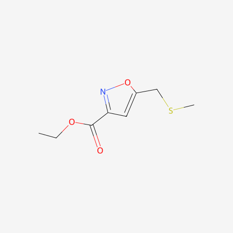 CCOC(=O)c1cc(CSC)on1